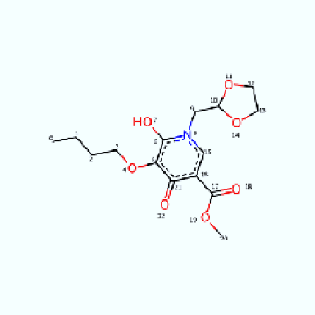 CCCCOc1c(O)n(CC2OCCO2)cc(C(=O)OC)c1=O